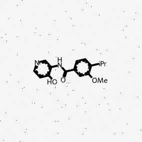 COc1cc(C(=O)Nc2cnccc2O)ccc1C(C)C